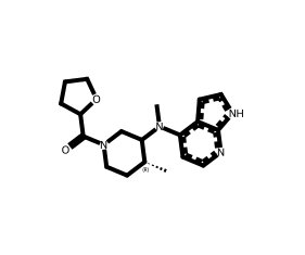 C[C@@H]1CCN(C(=O)C2CCCO2)CC1N(C)c1ccnc2[nH]ccc12